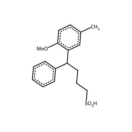 COc1ccc(C)cc1C(CCCS(=O)(=O)O)c1ccccc1